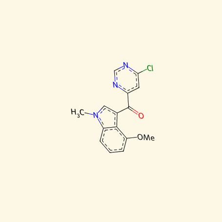 COc1cccc2c1c(C(=O)c1cc(Cl)ncn1)cn2C